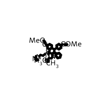 COCOc1ccc(C(c2ccc(OCOC)cc2)c2c(C(=O)NCCCn3ccnc3)n(CCN(C)C)c3ccccc23)cc1